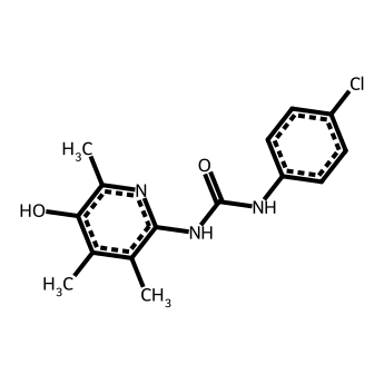 Cc1nc(NC(=O)Nc2ccc(Cl)cc2)c(C)c(C)c1O